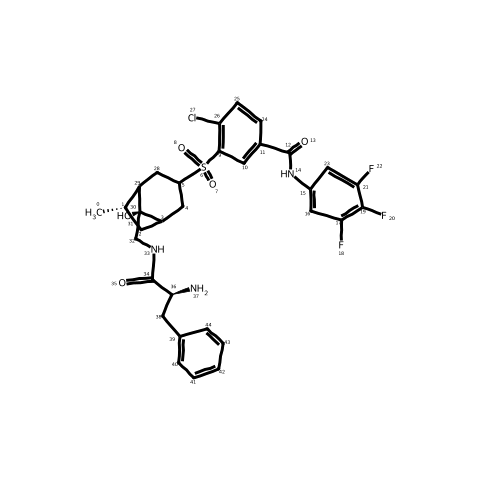 C[C@H]1CC2CC(S(=O)(=O)c3cc(C(=O)Nc4cc(F)c(F)c(F)c4)ccc3Cl)CC1[C@@]2(O)CNC(=O)[C@@H](N)Cc1ccccc1